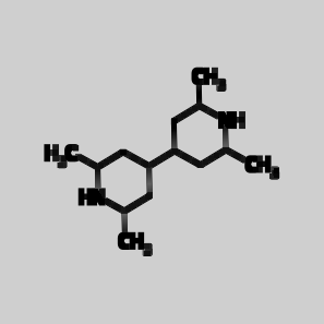 CC1CC(C2CC(C)NC(C)C2)CC(C)N1